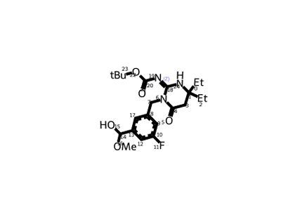 CCC1(CC)CC(=O)N(Cc2cc(F)cc(C(O)OC)c2)/C(=N\C(=O)OC(C)(C)C)N1